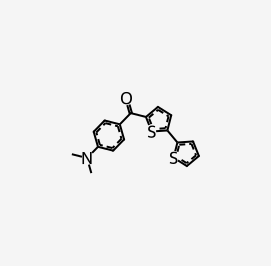 CN(C)c1ccc(C(=O)c2ccc(-c3cccs3)s2)cc1